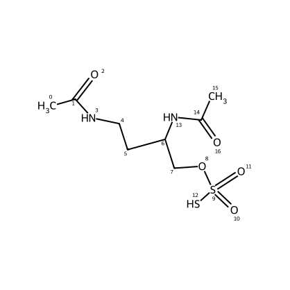 CC(=O)NCCC(COS(=O)(=O)S)NC(C)=O